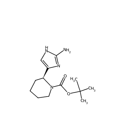 CC(C)(C)OC(=O)N1CCCC[C@H]1c1c[nH]c(N)n1